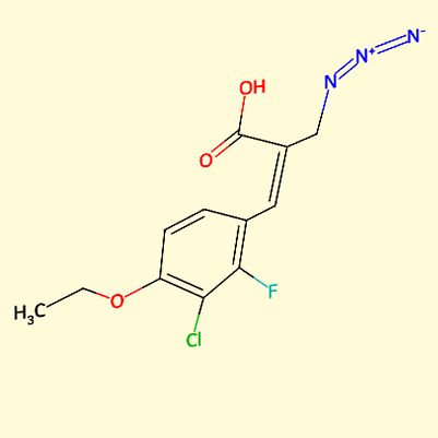 CCOc1ccc(C=C(CN=[N+]=[N-])C(=O)O)c(F)c1Cl